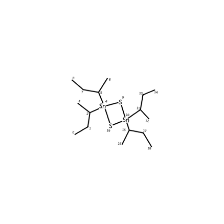 CC[CH](C)[Sn]1([CH](C)CC)[S][Sn]([CH](C)CC)([CH](C)CC)[S]1